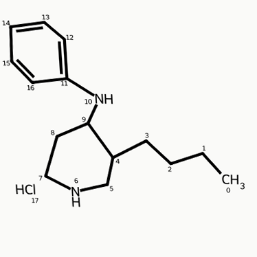 CCCCC1CNCCC1Nc1ccccc1.Cl